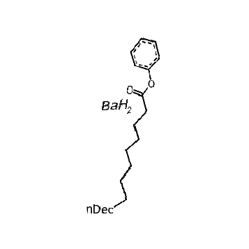 CCCCCCCCCCCCCCCCCC(=O)Oc1ccccc1.[BaH2]